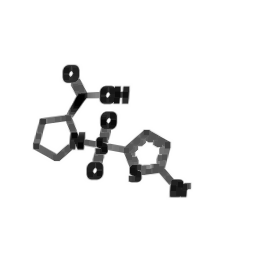 O=C(O)[C@@H]1CCCN1S(=O)(=O)c1ccc(Br)s1